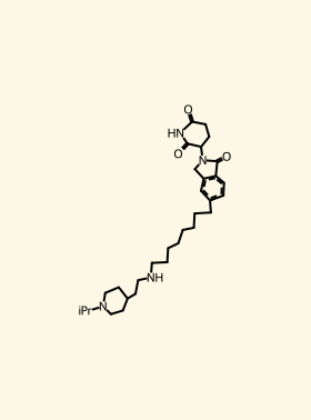 CC(C)N1CCC(CCNCCCCCCCCc2ccc3c(c2)CN(C2CCC(=O)NC2=O)C3=O)CC1